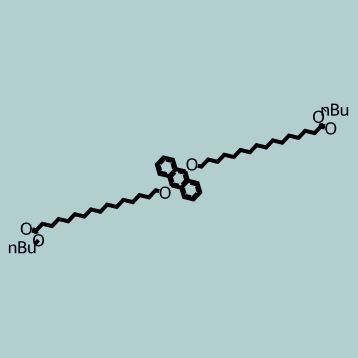 CCCCOC(=O)CCCCCCCCCCCCCCCOc1c2ccccc2c(OCCCCCCCCCCCCCCCC(=O)OCCCC)c2ccccc12